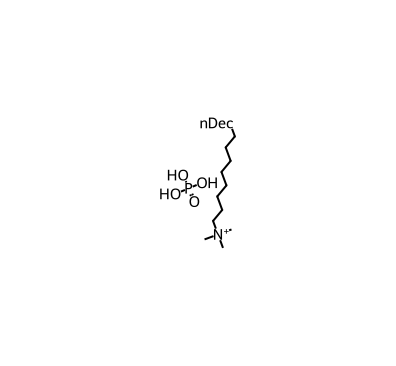 CCCCCCCCCCCCCCCCCC[N+](C)(C)C.O=P(O)(O)O